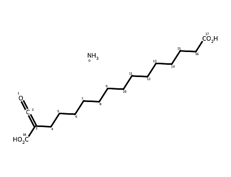 N.O=C=C(CCCCCCCCCCCCCC(=O)O)C(=O)O